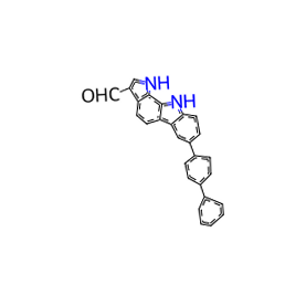 O=Cc1c[nH]c2c1ccc1c3cc(-c4ccc(-c5ccccc5)cc4)ccc3[nH]c12